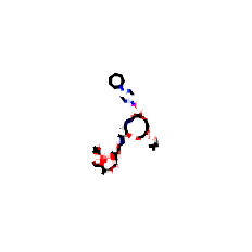 CCC(O[Si](C)(C)C(C)(C)C)C(C)[C@H]1O[C@@H]1CC(C)(O)C(O)C(O)/C=C(\C)[C@H]1OC(=O)C[C@H](O[Si](C)(C)C(C)(C)C)CC[C@@](C)(O)[C@@H](OC(=O)N2CCN(C3CCCCCC3)CC2)/C=C/[C@@H]1C